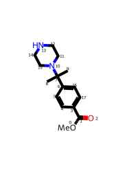 COC(=O)c1ccc(C(C)(C)N2CCNCC2)cc1